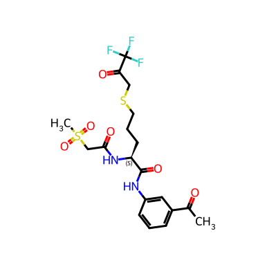 CC(=O)c1cccc(NC(=O)[C@H](CCCSCC(=O)C(F)(F)F)NC(=O)CS(C)(=O)=O)c1